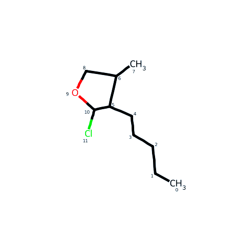 CCCCCC1C(C)COC1Cl